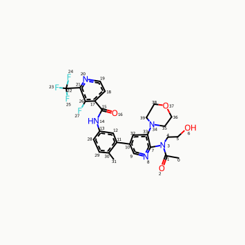 CC(=O)N(CCO)c1ncc(-c2cc(NC(=O)c3ccnc(C(F)(F)F)c3F)ccc2C)cc1N1CCOCC1